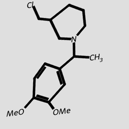 COc1ccc(C(C)N2CCCC(CCl)C2)cc1OC